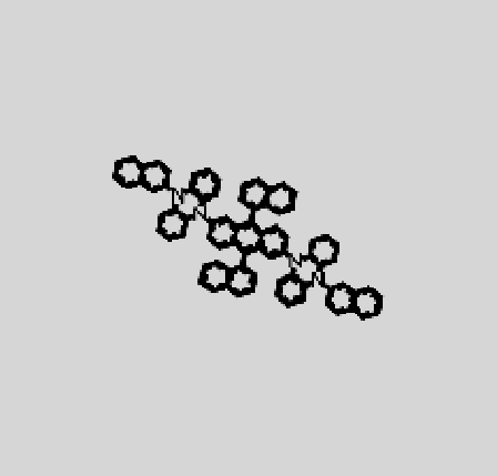 c1ccc2c(c1)N(c1ccc3ccccc3c1)c1ccccc1N2c1ccc2c(-c3cccc4ccccc34)c3cc(N4c5ccccc5N(c5ccc6ccccc6c5)c5ccccc54)ccc3c(-c3cccc4ccccc34)c2c1